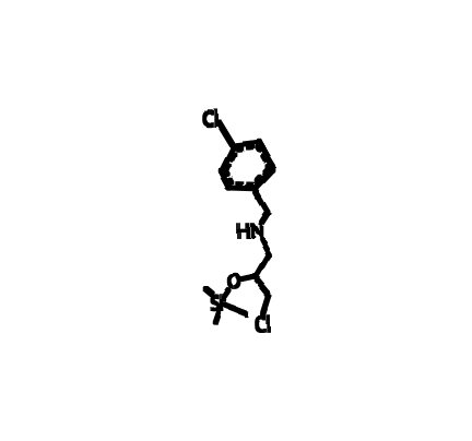 C[Si](C)(C)OC(CCl)CNCc1ccc(Cl)cc1